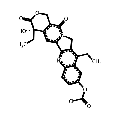 CCc1c2c(nc3ccc(OC(=O)Cl)cc13)-c1cc3c(c(=O)n1C2)COC(=O)[C@]3(O)CC